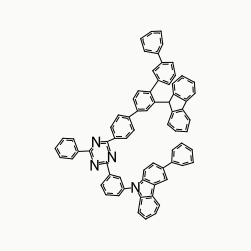 c1ccc(-c2cccc(-c3ccc(-c4ccc(-c5nc(-c6ccccc6)nc(-c6cccc(-n7c8ccccc8c8cc(-c9ccccc9)ccc87)c6)n5)cc4)cc3C3c4ccccc4-c4ccccc43)c2)cc1